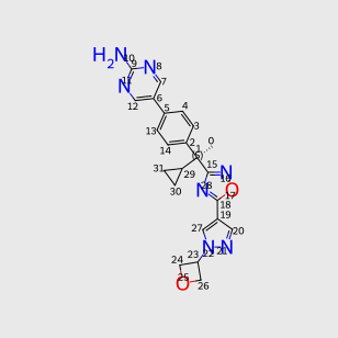 C[C@](c1ccc(-c2cnc(N)nc2)cc1)(c1noc(-c2cnn(C3COC3)c2)n1)C1CC1